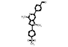 Cc1nc(-c2ccc(C=O)cc2)cc2c1cc(-c1ccc(S(C)(=O)=O)cc1)n2C